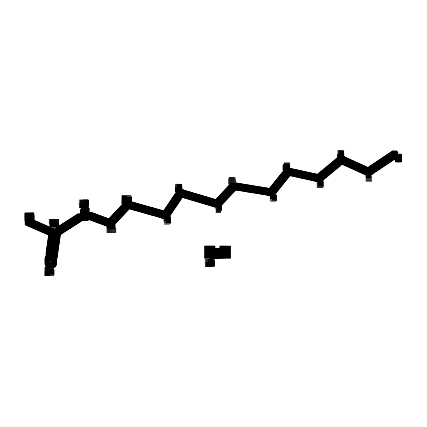 CCCCCCCCCCCCSC(C)=O.[NaH]